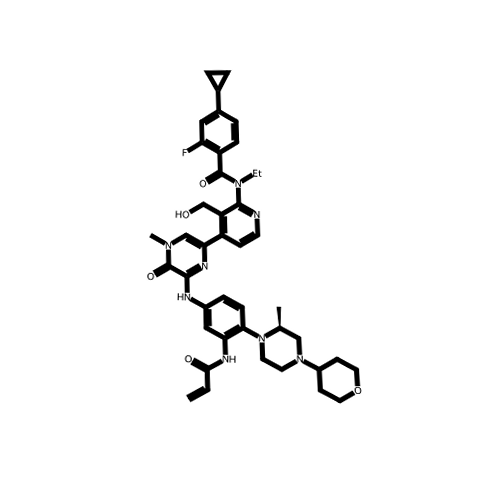 C=CC(=O)Nc1cc(Nc2nc(-c3ccnc(N(CC)C(=O)c4ccc(C5CC5)cc4F)c3CO)cn(C)c2=O)ccc1N1CCN(C2CCOCC2)C[C@@H]1C